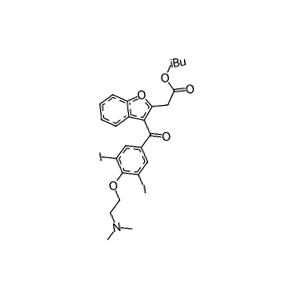 CCC(C)OC(=O)Cc1oc2ccccc2c1C(=O)c1cc(I)c(OCCN(C)C)c(I)c1